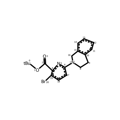 CC(C)(C)OC(=O)c1nc(N2CCc3ccccc3C2)ccc1Br